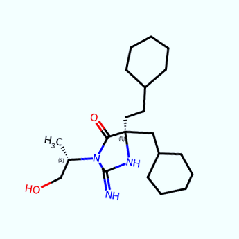 C[C@@H](CO)N1C(=N)N[C@](CCC2CCCCC2)(CC2CCCCC2)C1=O